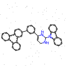 C1=C(c2cccc(-c3ccc4c5ccccc5c5ccccc5c4c3)c2)NC(n2c3ccccc3c3ccccc32)NC1